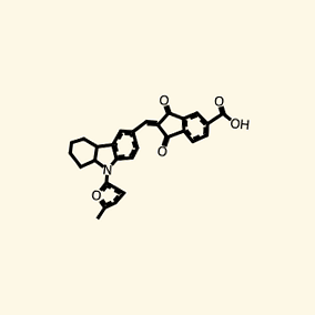 Cc1ccc(N2c3ccc(C=C4C(=O)c5ccc(C(=O)O)cc5C4=O)cc3C3CCCCC32)o1